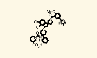 COc1ccc(-c2nnn[nH]2)cc1C(=O)N1CCC(CCN2CCC(NC(=O)N3CCCC(C(=O)O)C3)(c3ccccc3)CC2)(c2ccc(Cl)c(Cl)c2)C1